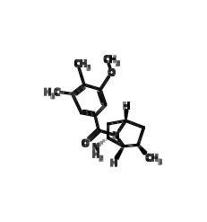 COc1cc(C(=O)N2[C@H]3C[C@@H](C)[C@@H]2[C@H](N)C3)cc(C)c1C